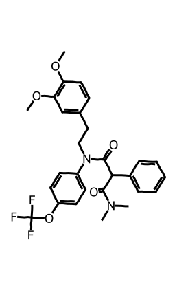 COc1ccc(CCN(C(=O)C(C(=O)N(C)C)c2ccccc2)c2ccc(OC(F)(F)F)cc2)cc1OC